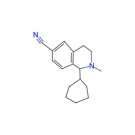 CN1CCc2cc(C#N)ccc2C1C1CCCCC1